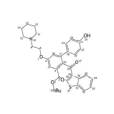 CCCCOC(=O)c1cc(OCCN2CCCCC2)cc(-c2ccc(O)cc2)c1C(=O)c1csc2ccccc12